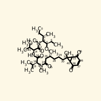 CC[C@H](C)[C@@H]([C@@H](CC)OC)N(C)C(=O)[C@@H](NC(=O)[C@H](C(C)C)N(C)C(=O)CCCCCC1(C)C2C(=O)C=CC(=O)C21)C(C)C